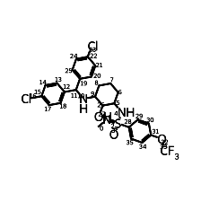 CN=S(=O)(NC1CCCC(NC(c2ccc(Cl)cc2)c2ccc(Cl)cc2)C1O)c1ccc(OC(F)(F)F)cc1